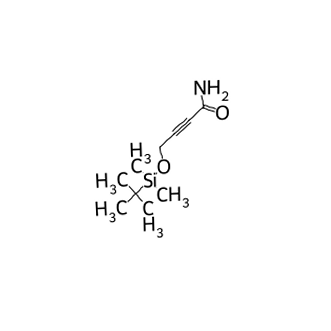 CC(C)(C)[Si](C)(C)OCC#CC(N)=O